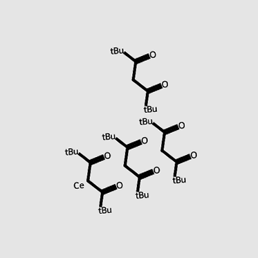 CC(C)(C)C(=O)CC(=O)C(C)(C)C.CC(C)(C)C(=O)CC(=O)C(C)(C)C.CC(C)(C)C(=O)CC(=O)C(C)(C)C.CC(C)(C)C(=O)CC(=O)C(C)(C)C.[Ce]